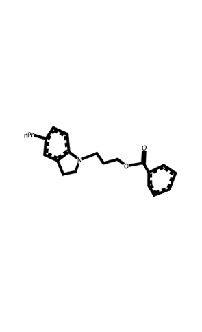 CCCc1ccc2c(c1)CCN2CCCOC(=O)c1ccccc1